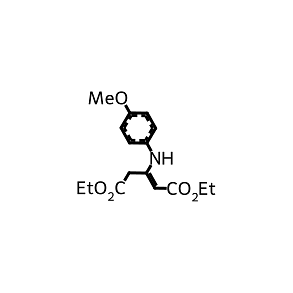 CCOC(=O)/C=C(/CC(=O)OCC)Nc1ccc(OC)cc1